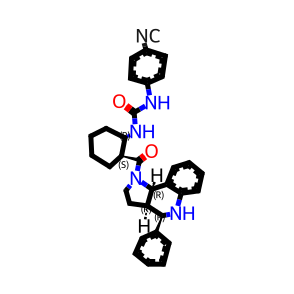 [C-]#[N+]c1ccc(NC(=O)N[C@@H]2CCCC[C@@H]2C(=O)N2CC[C@@H]3[C@H](c4ccccc4)Nc4ccccc4[C@@H]32)cc1